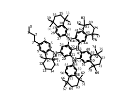 CCCCc1ccc2c(c1)C1(C)CCCCC1(C)N2c1cc2c3c(c1)N(c1ccc4c(c1)C(C)(C)CCC4(C)C)c1cc4c(cc1B3c1cc3c(cc1N2c1ccc2c(c1)C(C)(C)CCC2(C)C)C(C)(C)CCC3(C)C)C(C)(C)CCC4(C)C